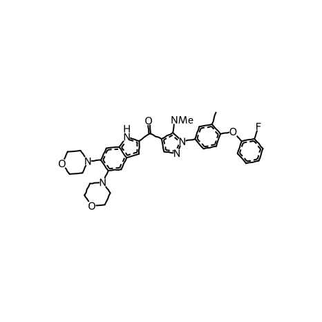 CNc1c(C(=O)c2cc3cc(N4CCOCC4)c(N4CCOCC4)cc3[nH]2)cnn1-c1ccc(Oc2ccccc2F)c(C)c1